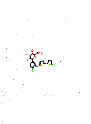 OC[C@H]1O[C@@H](c2ccc(Cl)c(Cc3cnc(-c4ccc(Cl)s4)s3)c2)[C@H](O)[C@@H](O)[C@@H]1O